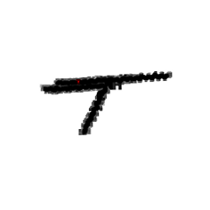 CCCCCCCCCCCCCCCCCCCC(CCCCCCCCCCCCCCCC)NC(CCCCCCCCCCCCCCCC)CCCCCCCCCCCCCCCCCCC